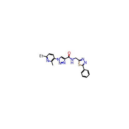 CCc1ccc(-n2cc(C(=O)NCc3nnc(-c4ccccc4)s3)nn2)c(C)n1